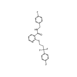 O=C(NCc1ccc(F)cc1)c1cccnc1SCCC(F)(F)c1ccc(F)cc1